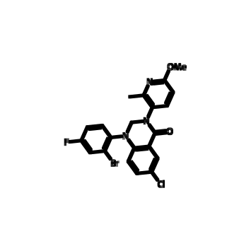 COc1ccc(N2CN(c3ccc(F)cc3Br)c3ccc(Cl)cc3C2=O)c(C)n1